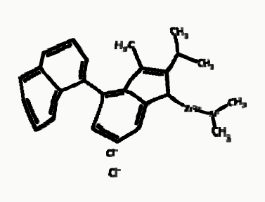 CC1=C(C(C)C)[CH]([Zr+2][Si](C)C)c2cccc(-c3cccc4ccccc34)c21.[Cl-].[Cl-]